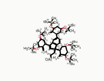 C=C1C(O[Si](C)(C)C(C)(C)C)CC(O[Si](C)(C)C(C)(C)C)CC1C1=CC(CCOC(C)=O)(C2CC(O[Si](C)(C)C(C)(C)C)CC(O[Si](C)(C)C(C)(C)C)C2=C)c2ccc(C3CC(O[Si](C)(C)C(C)(C)C)CC(O[Si](C)(C)C(C)(C)C)C3=C)cc21